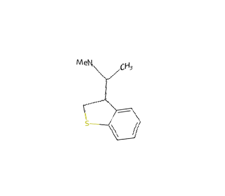 CNC(C)C1CSc2ccccc21